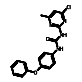 Cc1cc(Cl)nc(NC(=O)Nc2ccc(Oc3ccccc3)cc2)n1